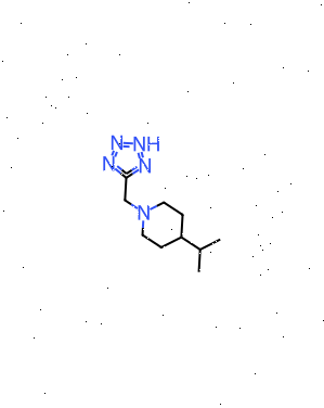 CC(C)C1CCN(Cc2nn[nH]n2)CC1